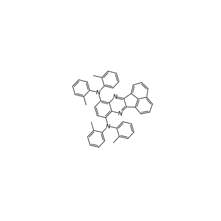 Cc1ccccc1N(c1ccccc1C)c1ccc(N(c2ccccc2C)c2ccccc2C)c2nc3c(nc12)-c1cccc2cccc-3c12